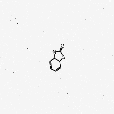 O=C1[N]C2C=CC=CC2S1